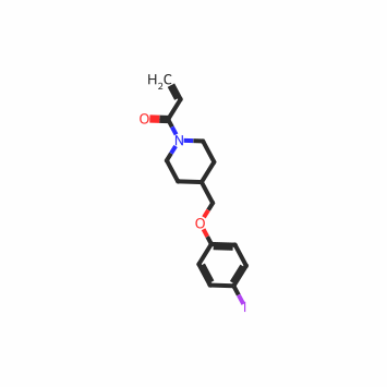 C=CC(=O)N1CCC(COc2ccc(I)cc2)CC1